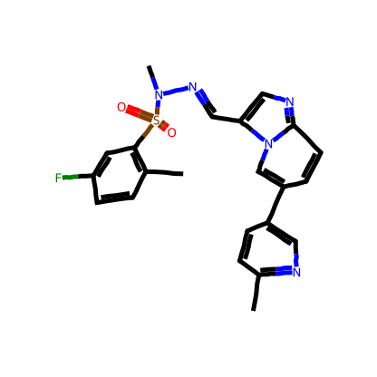 Cc1ccc(-c2ccc3ncc(C=NN(C)S(=O)(=O)c4cc(F)ccc4C)n3c2)cn1